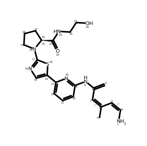 C=C(/C=C(C)\C=C/N)Nc1cccc(-c2cnc(N3CCC[C@H]3C(=O)NCCO)s2)n1